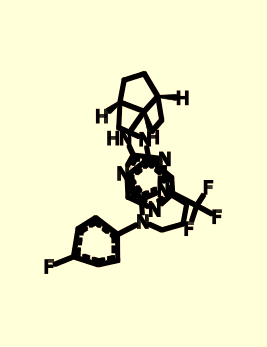 Fc1ccc(N2CCCn3nc(N[C@H]4[C@@H]5CC[C@H]4CN(c4ccnc(C(F)(F)F)c4)C5)nc32)cc1